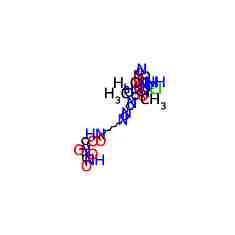 CCc1cc(Nc2ncc(Cl)c(Nc3ccc4nccnc4c3NS(C)(=O)=O)n2)c(OC)cc1N1CCC(N2CCN(CCCCCCCNC(=O)COc3cccc4c3CN(C3CCC(=O)NC3=O)C4=O)CC2)CC1